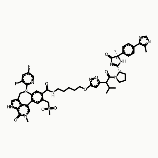 Cc1ncsc1-c1ccc([C@@]2(C)NC([C@@H]3CCCN3C(=O)C(c3cc(OCCCCCNC(=O)c4cc5c(cc4CS(C)(=O)=O)-c4cn(C)c(=O)c6[nH]cc(c46)CN5c4ncc(F)cc4F)no3)C(C)C)=NC2=O)cc1